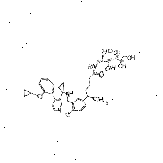 CC(CCCC(=O)N[C@@H](CO)[C@@H](O)[C@H](O)[C@H](O)CO)c1ccc(Cl)c(CNC2(c3cnccc3-c3ccccc3OC3CC3)CC2)c1